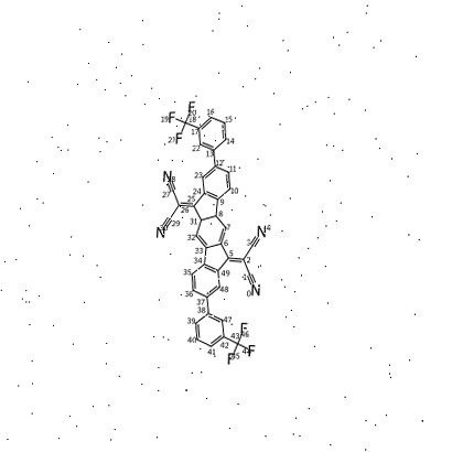 N#CC(C#N)=C1C2=CC3c4ccc(-c5cccc(C(F)(F)F)c5)cc4C(=C(C#N)C#N)C3C=C2c2ccc(-c3cccc(C(F)(F)F)c3)cc21